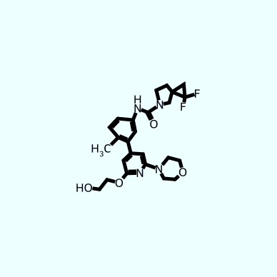 Cc1ccc(NC(=O)N2CCC3(C2)CC3(F)F)cc1-c1cc(OCCO)nc(N2CCOCC2)c1